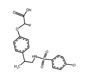 CC(CNS(=O)(=O)c1ccc(Cl)cc1)c1ccc(OC(F)C(=O)O)cc1